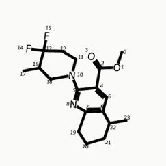 COC(=O)c1cc2c(nc1N1CCC(F)(F)C(C)C1)CCCC2C